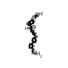 CC(C)(O)COc1ccc2c(C(=O)NC3CC4(C3)CC(Oc3ccc(-c5cccc(CCN)c5)cc3)C4)cnn2c1